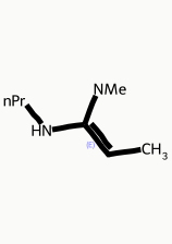 C/C=C(\NC)NCCC